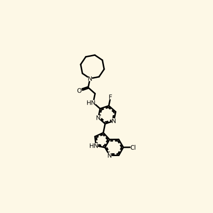 O=C(CNc1nc(-c2c[nH]c3ncc(Cl)cc23)ncc1F)N1CCCCCCC1